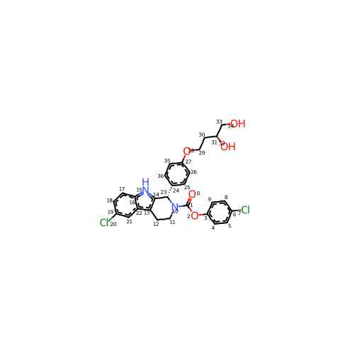 O=C(Oc1ccc(Cl)cc1)N1CCc2c([nH]c3ccc(Cl)cc23)[C@@H]1c1ccc(OCC[C@H](O)CO)cc1